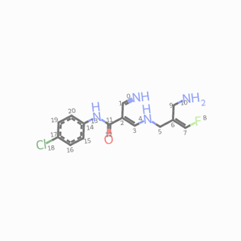 N=C/C(=C\NC/C(=C/F)CN)C(=O)Nc1ccc(Cl)cc1